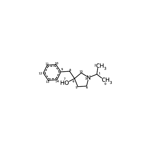 CC(C)N1CCC(O)(Cc2ccccc2)C1